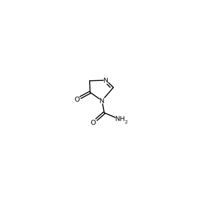 NC(=O)N1C=NCC1=O